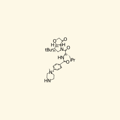 CC(C)C[C@H](NC(=O)c1ccc([N+]2(C)CCNCC2)cc1)C(=O)N1C[C@@H](C(C)(C)C)[C@H]2OCC(=O)[C@H]21